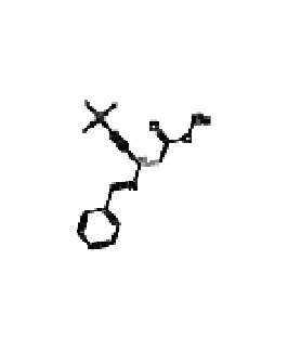 CC(C)(C)OC(=O)C[C@@H](C#C[Si](C)(C)C)N=Cc1ccccc1